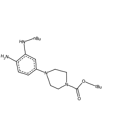 CCCCNc1cc(N2CCN(C(=O)OC(C)(C)C)CC2)ccc1N